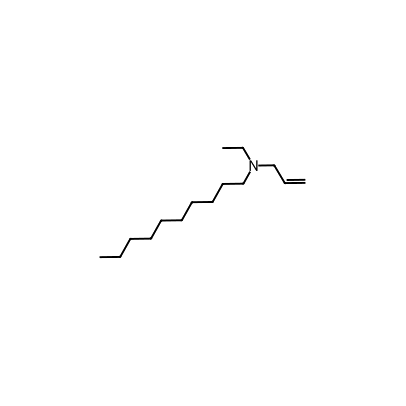 C=CCN(CC)CCCCCCCCCC